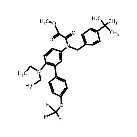 CCN(CC)c1ccc(N(Cc2ccc(C(C)(C)C)cc2)C(=O)C(=O)OC)cc1-c1ccc(OC(F)(F)F)cc1